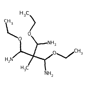 CCOC(N)C(C)(C(N)OCC)C(N)OCC